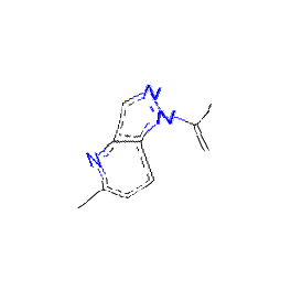 C=C(C)n1ncc2nc(C)ccc21